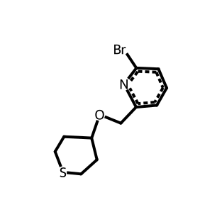 Brc1cccc(COC2CCSCC2)n1